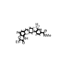 CCC1Oc2c(F)cc(CN3CCN(c4ccc(C(=O)NC)nc4C)CC3)cc2NC1=O